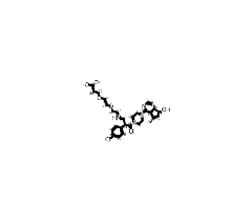 C[C@@H]1C[C@@H](O)c2ncnc(N3CCN(C(=O)C(CNCCOCCOCCC(=O)O)c4ccc(Cl)cc4)CC3)c21